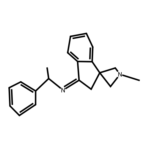 CC(/N=C1/CC2(CN(C)C2)c2ccccc21)c1ccccc1